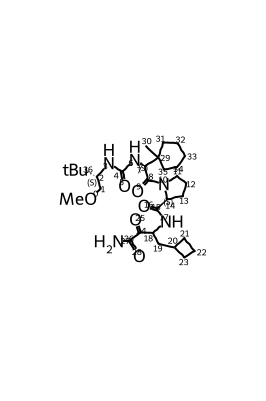 COC[C@@H](NC(=O)N[C@H](C(=O)N1CCC[C@H]1C(=O)NC(CC1CCC1)C(=O)C(N)=O)C1(C)CCCCC1)C(C)(C)C